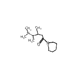 CC(CC(=O)N1CCCCC1)C(C)N(C)C